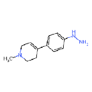 CN1CC=C(c2ccc(NN)cc2)CC1